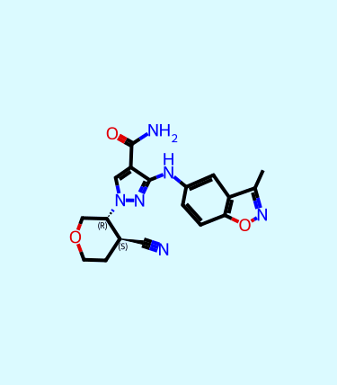 Cc1noc2ccc(Nc3nn([C@H]4COCC[C@@H]4C#N)cc3C(N)=O)cc12